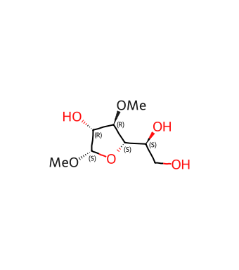 CO[C@H]1O[C@@H]([C@@H](O)CO)[C@H](OC)[C@H]1O